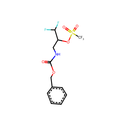 O=C(NCC(OS(=O)(=O)C(F)(F)F)C(F)F)OCc1ccccc1